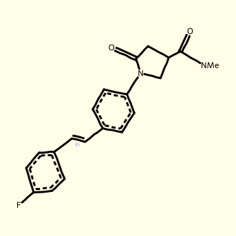 CNC(=O)C1CC(=O)N(c2ccc(/C=C/c3ccc(F)cc3)cc2)C1